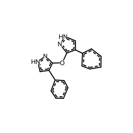 c1ccc(-c2c[nH]nc2Oc2n[nH]cc2-c2ccccc2)cc1